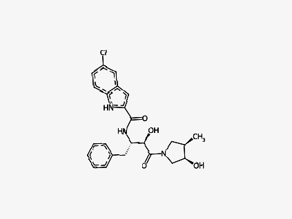 C[C@@H]1CN(C(=O)[C@H](O)[C@H](Cc2ccccc2)NC(=O)c2cc3cc(Cl)ccc3[nH]2)C[C@@H]1O